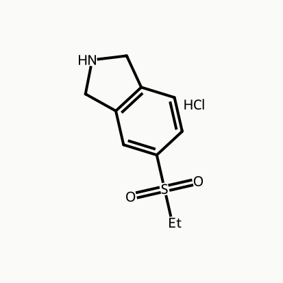 CCS(=O)(=O)c1ccc2c(c1)CNC2.Cl